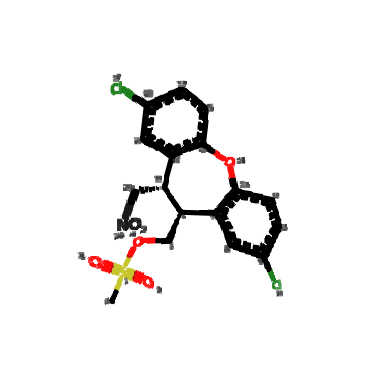 CS(=O)(=O)OC[C@@H]1c2cc(Cl)ccc2Oc2ccc(Cl)cc2[C@H]1C[N+](=O)[O-]